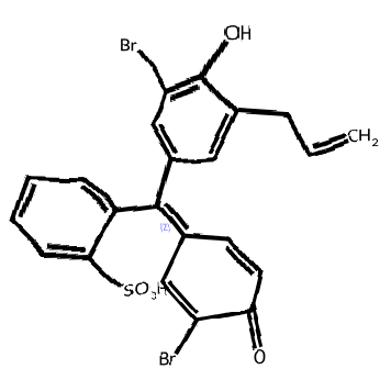 C=CCc1cc(/C(=C2\C=CC(=O)C(Br)=C2)c2ccccc2S(=O)(=O)O)cc(Br)c1O